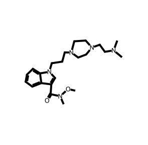 CON(C)C(=O)c1cn(CCCN2CCN(CCN(C)C)CC2)c2ccccc12